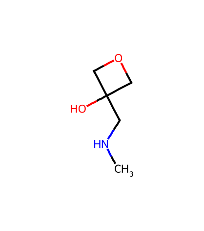 CNCC1(O)COC1